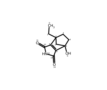 CCC12CCC(O)(C1)C1=C2C(=O)NC1=O